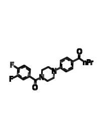 CCCC(=O)c1ccc(N2CCN(C(=O)c3ccc(F)c(F)c3)CC2)cc1